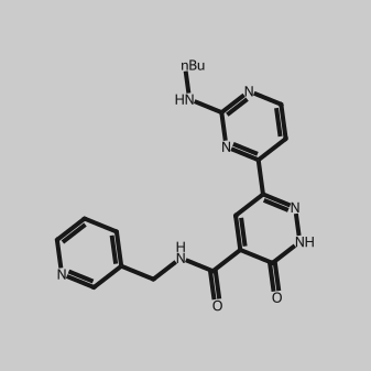 CCCCNc1nccc(-c2cc(C(=O)NCc3cccnc3)c(=O)[nH]n2)n1